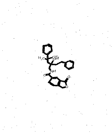 CC(C)(CC(O)(CCc1ccccc1)CNC(=O)c1ccc2c(c1)C(=O)OC2)c1ccccc1